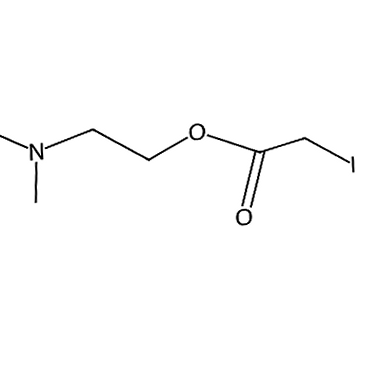 CN(C)CCOC(=O)CI